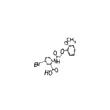 COc1ccccc1OCC(=O)Nc1ccc(Br)cc1C(=O)O